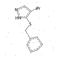 CC(C)c1cn[nH]c1SCc1ccccc1